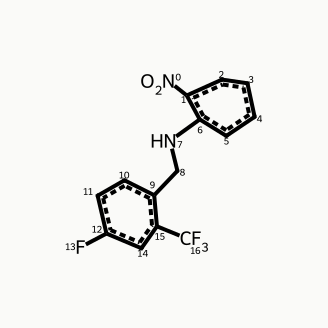 O=[N+]([O-])c1ccccc1NCc1ccc(F)cc1C(F)(F)F